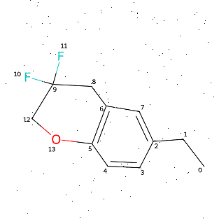 CCc1ccc2c(c1)CC(F)(F)CO2